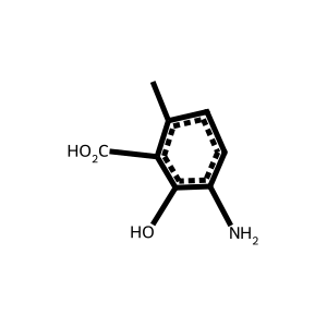 Cc1ccc(N)c(O)c1C(=O)O